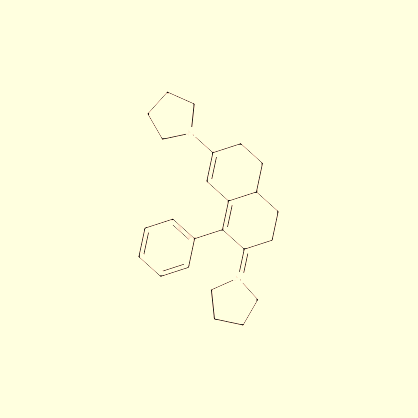 C1=C(N2CCCC2)CCC2CCC(=[N+]3CCCC3)C(c3ccccc3)=C12